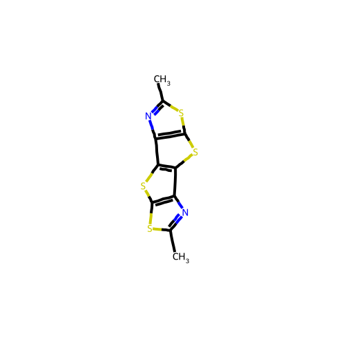 Cc1nc2c(s1)sc1c3nc(C)sc3sc21